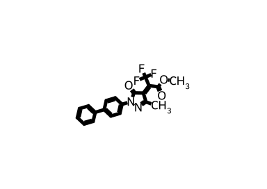 COC(=O)/C(=C1/C(=O)N(c2ccc(-c3ccccc3)cc2)N=C1C)C(F)(F)F